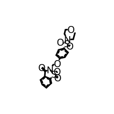 O=C1c2ccccc2S(=O)(=O)N1COc1ccc(S(=O)(=O)N2CCOCC2)cc1